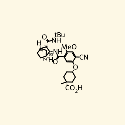 COc1cc(C#N)c(O[C@H]2CC[C@@](C)(C(=O)O)CC2)cc1C(=O)N[C@@H]1[C@H]2CC[C@H](C2)[C@@H]1C(=O)NC(C)(C)C